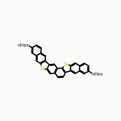 CCCCCCc1ccc2cc3c(cc2c1)sc1cc2ccc4c5cc6cc(CCCCCC)ccc6cc5sc4c2cc13